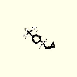 CC(C)(O)c1ccc(S(=O)(=O)CC2CC2)cc1